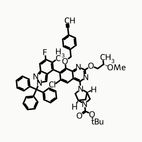 C#Cc1ccc(COc2c(-c3c(C)c(F)cc4nn(C(c5ccccc5)(c5ccccc5)c5ccccc5)cc34)c(Cl)cc3c(N4C[C@@H]5C[C@H]4CN5C(=O)OC(C)(C)C)nc(OC[C@H](C)OC)nc23)cc1